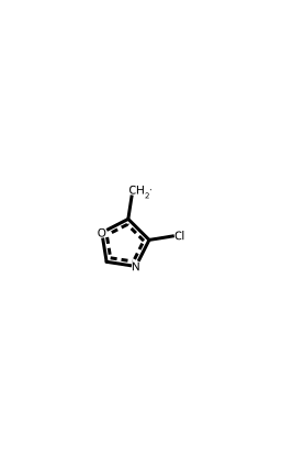 [CH2]c1ocnc1Cl